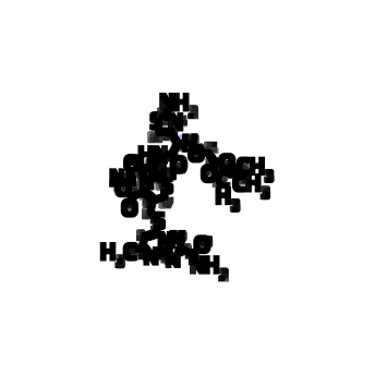 Cc1cc(SCC2=C(C(=O)[O-])N3C(=O)[C@@H](NC(=O)/C(=N\OCC(=O)OC(C)(C)C)c4csc(N)n4)[C@H]3SC2)n2nc(C(N)=O)nc2n1.[Na+]